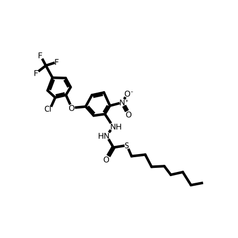 CCCCCCCCSC(=O)NNc1cc(Oc2ccc(C(F)(F)F)cc2Cl)ccc1[N+](=O)[O-]